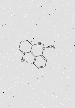 COc1ccccc1C1C(N)CCCN1C